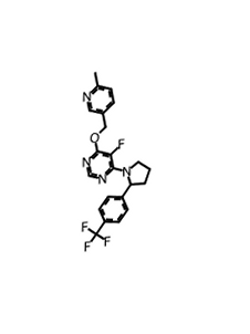 Cc1ccc(COc2ncnc(N3CCCC3c3ccc(C(F)(F)F)cc3)c2F)cn1